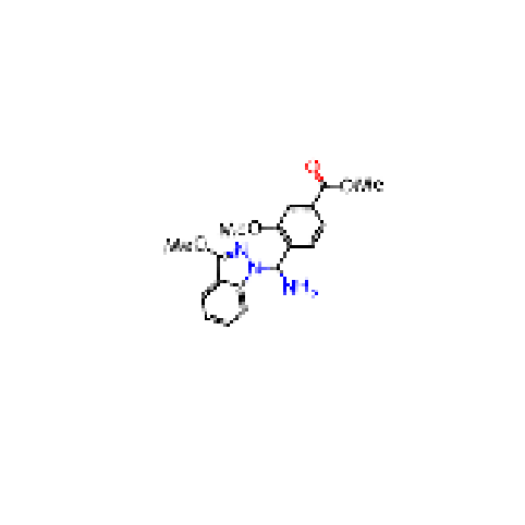 COC(=O)c1ccc(C(N)n2nc(OC)c3ccccc32)c(OC)c1